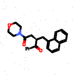 CC(C)C(=O)[C@@H](CC(=O)N1CCOCC1)Cc1cccc2ccccc12